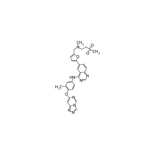 Cc1cc(Nc2ncnc3ccc(-c4ccc(CN(C)CCS(C)(=O)=O)o4)cc23)ccc1Oc1cc2nncn2cn1